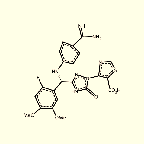 COc1cc(F)c([C@H](Nc2ccc(C(=N)N)cc2)c2nn(-c3ncsc3C(=O)O)c(=O)[nH]2)cc1OC